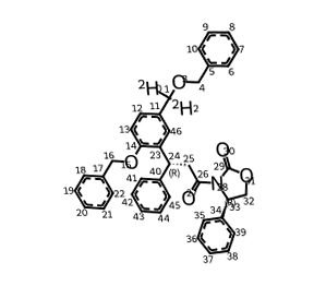 [2H]C([2H])(OCc1ccccc1)c1ccc(OCc2ccccc2)c([C@H](CC(=O)N2C(=O)OC[C@H]2c2ccccc2)c2ccccc2)c1